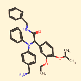 CCOc1cc(C(C(=O)NCc2ccccc2)N(c2ccccc2)c2ccc(CN)cc2)ccc1OC(C)C